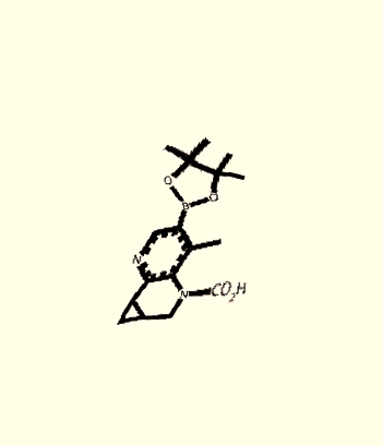 Cc1c(B2OC(C)(C)C(C)(C)O2)cnc2c1N(C(=O)O)CC1CC21